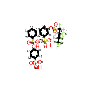 O=S(=O)(O)C(F)(F)C(F)(F)C(F)(F)C(F)(F)F.O=S(=O)(O)c1ccccc1.O=S(=O)(O)c1ccccc1.O=S(=O)(O)c1ccccc1